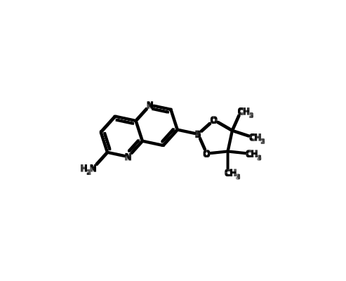 CC1(C)OB(c2cnc3ccc(N)nc3c2)OC1(C)C